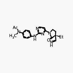 CC[C@]1(C=N)CCN(c2ccnc(Nc3ccc(N(C)C(C)=O)cc3)n2)C1=O